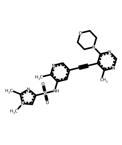 Cc1ncc(C#Cc2c(C)ncnc2N2CCOCC2)cc1NS(=O)(=O)c1cn(C)c(C)n1